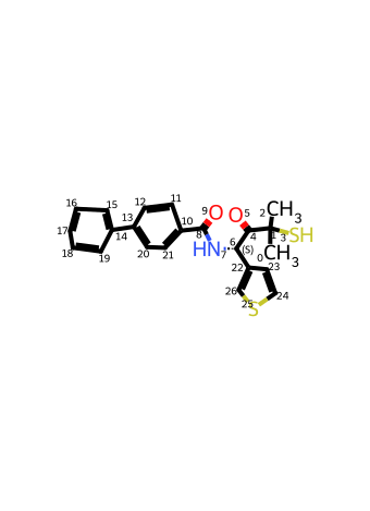 CC(C)(S)C(=O)[C@@H](NC(=O)c1ccc(-c2ccccc2)cc1)c1ccsc1